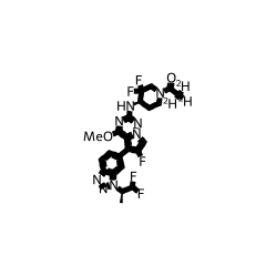 [2H]C([2H])([2H])C(=O)N1CC[C@@H](Nc2nc(OC)c3c(-c4ccc5nnn([C@H](C)C(F)F)c5c4)c(F)cn3n2)C(F)(F)C1